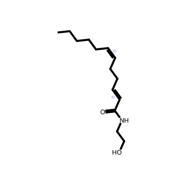 CCCCC/C=C\CC/C=C/C(=O)NCCO